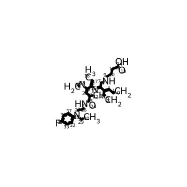 C=C/C=C(C=C)/C(CNCCCC(=O)O)=N/C(=C/C)C(=C\C(C)C(=O)NCCN(CC)c1ccc(F)cc1)/N=C